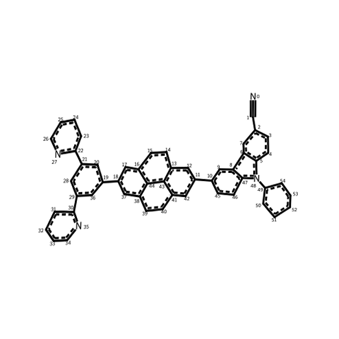 N#Cc1ccc2c(c1)c1cc(-c3cc4ccc5cc(-c6cc(-c7ccccn7)cc(-c7ccccn7)c6)cc6ccc(c3)c4c56)ccc1n2-c1ccccc1